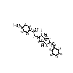 Oc1ccc(C(O)CN2C[C@H]3CC(Oc4ccccc4)C[C@H]3C2)cc1